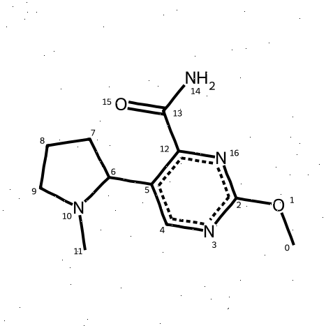 COc1ncc(C2CCCN2C)c(C(N)=O)n1